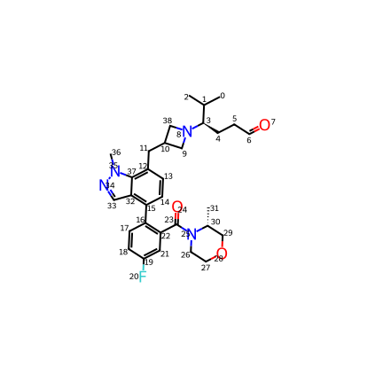 CC(C)[C@@H](CCC=O)N1CC(Cc2ccc(-c3ccc(F)cc3C(=O)N3CCOC[C@H]3C)c3cnn(C)c23)C1